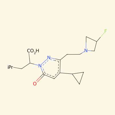 CC(C)CC(C(=O)O)n1nc(CCN2CC(F)C2)c(C2CC2)cc1=O